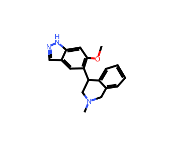 COc1cc2[nH]ncc2cc1C1CN(C)Cc2ccccc21